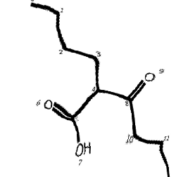 CCCCC(C(=O)O)C(=O)CCC